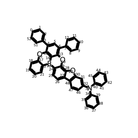 c1ccc(-c2cc(-c3ccccc3)c3c4c2Oc2ccccc2B4c2ccc4c(oc5cc(N(c6ccccc6)c6ccccc6)ccc54)c2O3)cc1